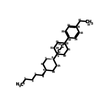 CCCCC[C@H]1CC[C@H](C23CCC(c4ccc(CC)cc4)(CC2)CC3)CC1